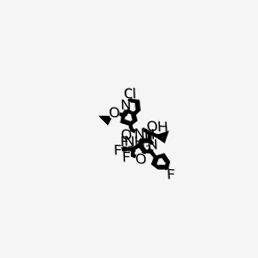 N[C@@]1(C(F)(F)F)COc2c1cc(C(O)(CNC(=O)c1cc(OC3CC3)c3nc(Cl)ccc3c1)C1CC1)nc2-c1ccc(F)cc1